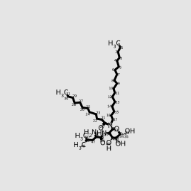 CCCCCCCCCCCCCCCCCCN(C(=O)CCCCCCCCCCC)[C@@H]1O[C@H](CO)[C@@H](O)[C@H](O)[C@H]1NC(=O)C(N)CC(C)C